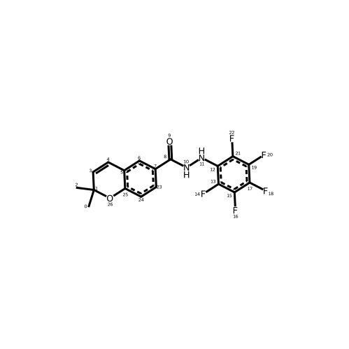 CC1(C)C=Cc2cc(C(=O)NNc3c(F)c(F)c(F)c(F)c3F)ccc2O1